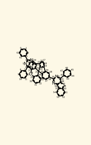 c1ccc(-c2nc(-c3ccccc3)nc(-c3cccc4c3C3(c5ccccc5Oc5ccccc53)c3ccc(-c5nc(-c6ccccc6)c6sc7ccccc7c6n5)cc3-4)n2)cc1